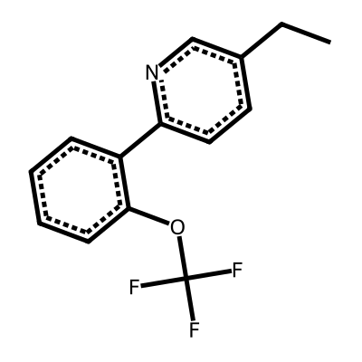 CCc1ccc(-c2ccccc2OC(F)(F)F)nc1